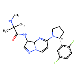 CNC(C)(C)C(=O)NC1C=NN2C=CC(N3CCC[C@@H]3c3cc(F)ccc3F)=NC12